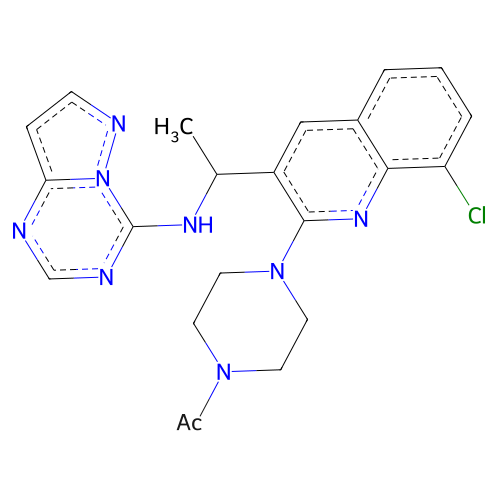 CC(=O)N1CCN(c2nc3c(Cl)cccc3cc2C(C)Nc2ncnc3ccnn23)CC1